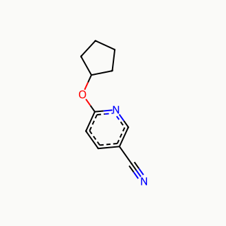 N#Cc1ccc(OC2CCCC2)nc1